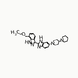 CCOCc1cccc2c(-c3nc4ccc(N5CCC(N6CCCCC6)CC5)cc4[nH]3)n[nH]c12